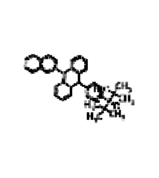 CC(C)(C)P(=O)(c1ccc(C2c3ccccc3C(c3ccc4ccccc4c3)=C3C=CC=CC32)cc1)C(C)(C)C